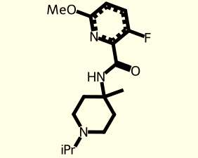 COc1ccc(F)c(C(=O)NC2(C)CCN(C(C)C)CC2)n1